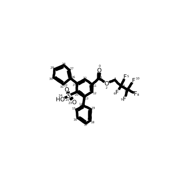 O=C(OCC(F)(F)C(F)(F)F)c1cc(-c2ccccc2)c(S(=O)(=O)O)c(-c2ccccc2)c1